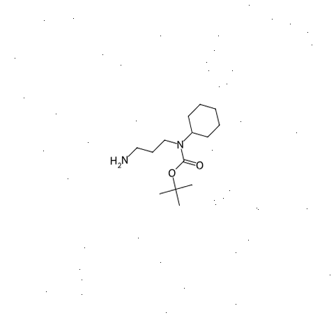 CC(C)(C)OC(=O)N(CCCN)C1CCCCC1